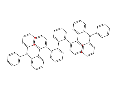 c1ccc(N(c2ccccc2)c2ccccc2-c2ccccc2-c2ccccc2-c2ccccc2-c2ccccc2-c2ccccc2N(c2ccccc2)c2ccccc2)cc1